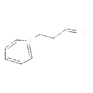 C=CCC[n+]1ccccc1